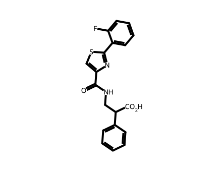 O=C(NCC(C(=O)O)c1ccccc1)c1csc(-c2ccccc2F)n1